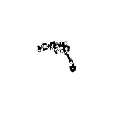 CCOc1nc(N2CCN(C(C)=O)CC2)ccc1NC(=O)c1coc2c1C(=O)N(CCCCOCc1ccccc1)CC2